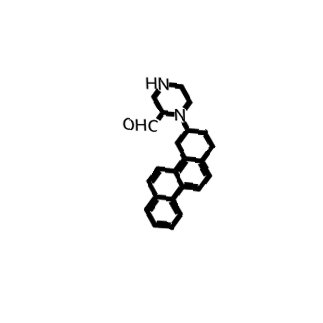 O=CC1CNCCN1C1CCc2ccc3c(ccc4ccccc43)c2C1